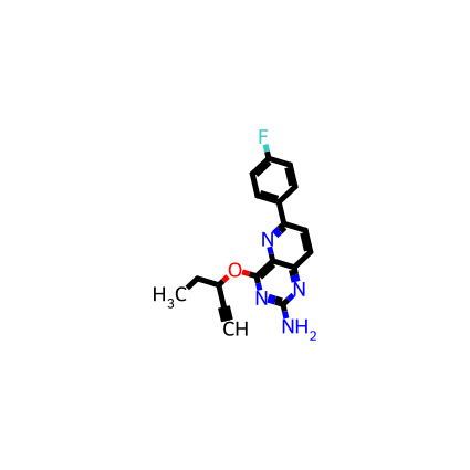 C#CC(CC)Oc1nc(N)nc2ccc(-c3ccc(F)cc3)nc12